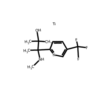 CNC(C)(c1ccc(C(F)(F)F)cn1)C(C)(C)O.[Ti]